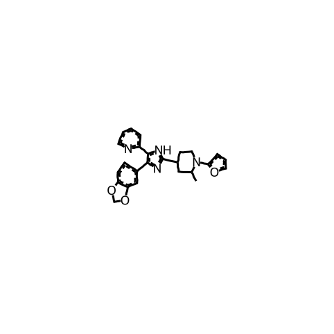 CC1CC(c2nc(-c3ccc4c(c3)OCO4)c(-c3ccccn3)[nH]2)CCN1c1ccco1